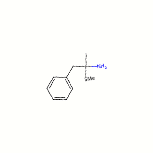 CSC(C)(N)Cc1ccccc1